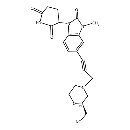 Cn1c(=O)n(C2CCC(=O)NC2=O)c2ccc(C#CCN3CCO[C@H](CC#N)C3)cc21